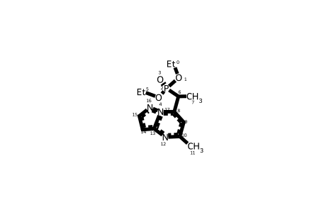 CCOP(=O)(OCC)C(C)c1cc(C)nc2ccnn12